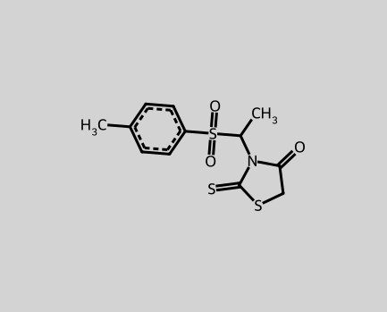 Cc1ccc(S(=O)(=O)C(C)N2C(=O)CSC2=S)cc1